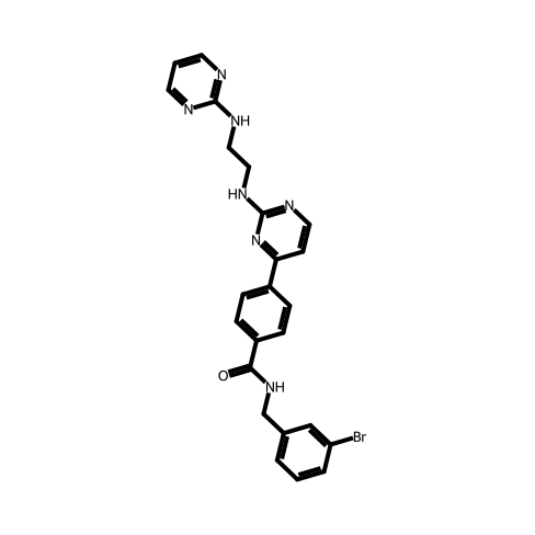 O=C(NCc1cccc(Br)c1)c1ccc(-c2ccnc(NCCNc3ncccn3)n2)cc1